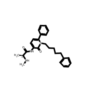 CN[C@@H](C)C(=O)Nc1ccc(-c2ccccc2)n(CCCCCc2ccccc2)c1=O